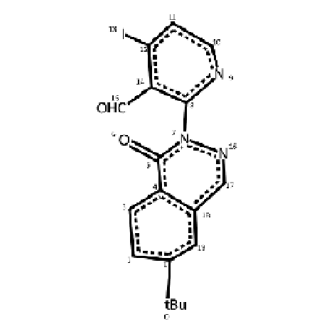 CC(C)(C)c1ccc2c(=O)n(-c3nccc(I)c3C=O)ncc2c1